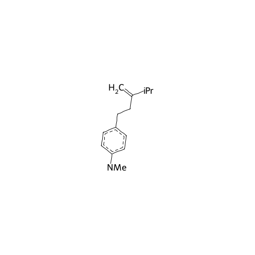 C=C(CCc1ccc(NC)cc1)C(C)C